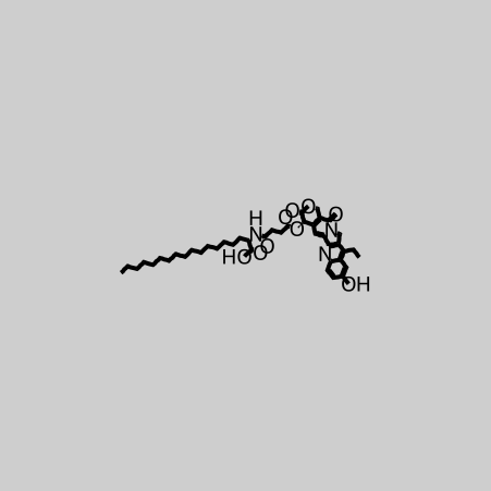 CCCCCCCCCCCCCCCCC(NC(=O)CCC(=O)O[C@@H]1C(=O)OCc2c1cc1n(c2=O)Cc2c-1nc1ccc(O)cc1c2CC)C(=O)O